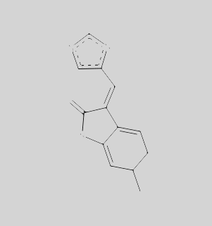 CC1C=C2NC(=O)/C(=C\c3cnc[nH]3)C2=CC1